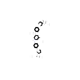 CC1=C(O)/C(=N\c2ccc(N3CCC(N(C)C)C3)cc2)C=C(Nc2ccc(N3CCC([N+](C)(C)C)C3)cc2)C1=O